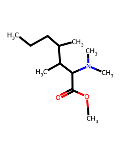 CCCC(C)C(C)C(C(=O)OC)N(C)C